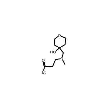 CCC(=O)CCN(C)CC1(O)CCOCC1